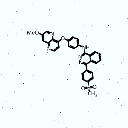 COc1cnc2c(Oc3ccc(Nc4nnc(-c5ccc(S(C)(=O)=O)cc5)c5ccccc45)cc3)ccnc2c1